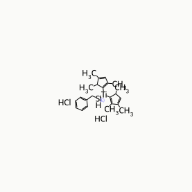 CC1=CC(C)[C](/[Ti](=[SiH]/Cc2ccccc2)[C]2=C(C)C=C(C)C2C)=C1C.Cl.Cl